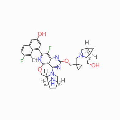 CCc1c(F)ccc2cc(O)cc(-c3nc4c5c(nc(OCC6(CN7C[C@H]8C[C@H]8[C@H]7CO)CC6)nc5c3F)N3C[C@H]5CC[C@H](N5)[C@@H]3CO4)c12